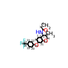 C=CC(=O)N[C@@H]1c2ccc(Oc3ccc(C(F)(F)F)cc3)cc2OC[C@@H]1C